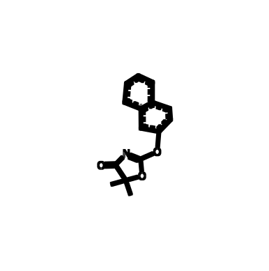 CC1(C)OC(Oc2ccc3ccccc3c2)=NC1=O